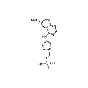 COc1ccc2ncnc(Nc3ccc(COP(O)(O)=S)cc3)c2c1